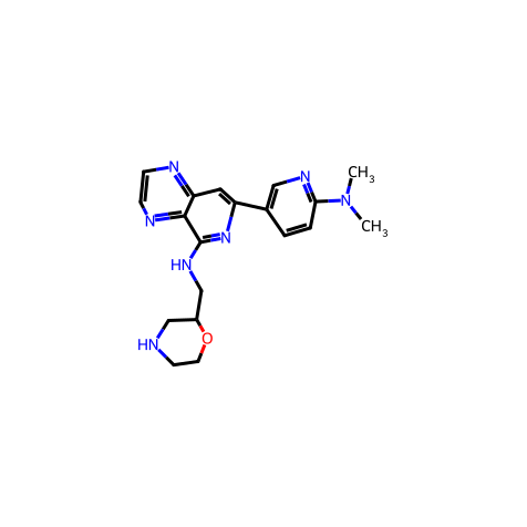 CN(C)c1ccc(-c2cc3nccnc3c(NCC3CNCCO3)n2)cn1